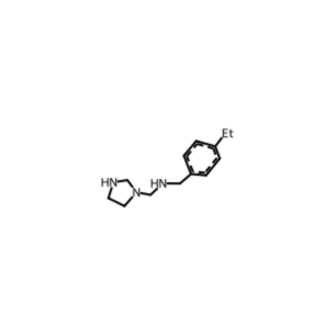 CCc1ccc(CNCN2CCNC2)cc1